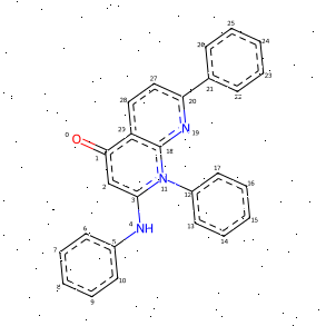 O=c1cc(Nc2ccccc2)n(-c2ccccc2)c2nc(-c3ccccc3)ccc12